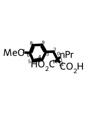 CCCC(Cc1ccc(OC)cc1)(C(=O)O)C(=O)O